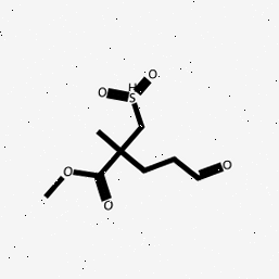 COC(=O)C(C)(CCC=O)C[SH](=O)=O